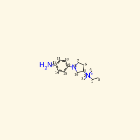 CC[N+](C)(C)C1CCN(c2ccc(N)cc2)C1